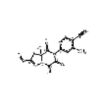 Cc1cc(N2C(=O)C(=O)N3N=C(C=O)CC3(C)C2=O)ccc1C#N